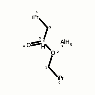 CC(C)CO[PH](=O)CC(C)C.[AlH3]